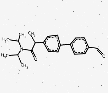 CC(C(=O)N(C(C)C)C(C)C)c1ccc(-c2ccc(C=O)cc2)cc1